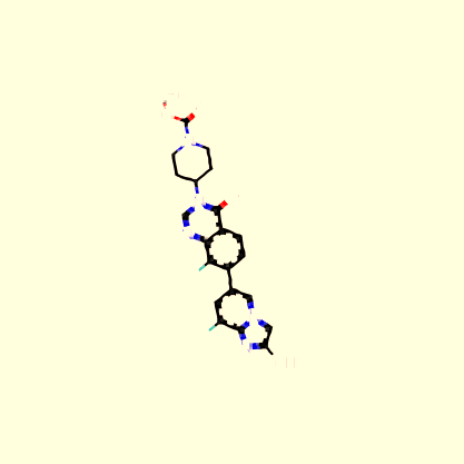 Cc1cn2cc(-c3ccc4c(=O)n(C5CCN(C(=O)OC(C)(C)C)CC5)cnc4c3F)cc(F)c2n1